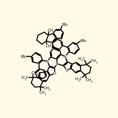 CC(C)(C)c1ccc(N2c3cc(N4c5ccc(C(C)(C)C)cc5C5(C)CCCCC45C)cc4c3B(c3oc5cc6c(cc5c32)C(C)(C)CCC6(C)C)c2oc3cc5c(cc3c2N4c2ccc(C(C)(C)C)cc2-c2ccccc2)C(C)(C)CCC5(C)C)c(-c2ccccc2)c1